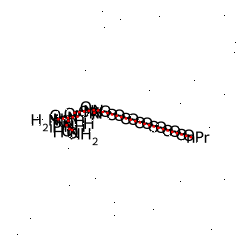 CCCOCCOCCOCCOCCOCCOCCOCCOCCOCCOCCOCCOCCOCCn1cc(CNC(=O)OCc2ccc(NC(=O)[C@H](CCCNC(N)=O)NC(=O)[C@@H](NC(=O)CON)C(C)C)cc2)nn1